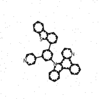 c1ccc2c(c1)sc1c(-c3cc(-c4ccncc4)cc(-n4c5ccccc5c5c6ccccc6c6ncccc6c54)c3)cccc12